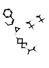 CC/C(=C\c1ccccc1)[C@@H]1C[C@H]1NC1CC2(C1)CN(C(C)C(N)=O)C2.O=C(O)C(F)(F)F.O=C(O)C(F)(F)F